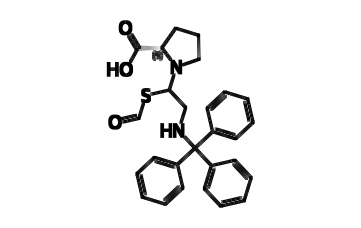 O=CSC(CNC(c1ccccc1)(c1ccccc1)c1ccccc1)N1CCC[C@H]1C(=O)O